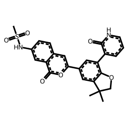 CC1(C)COc2c(-c3ccc[nH]c3=O)cc(-c3cc4ccc(NS(C)(=O)=O)cc4c(=O)o3)cc21